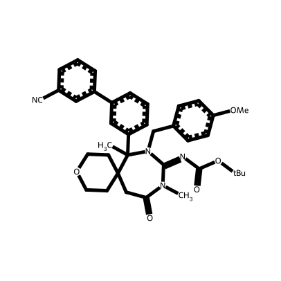 COc1ccc(CN2/C(=N/C(=O)OC(C)(C)C)N(C)C(=O)CC3(CCOCC3)C2(C)c2cccc(-c3cccc(C#N)c3)c2)cc1